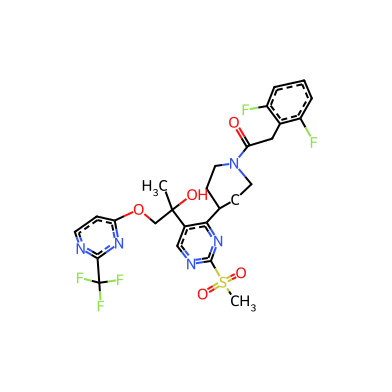 CC(O)(COc1ccnc(C(F)(F)F)n1)c1cnc(S(C)(=O)=O)nc1C1CCN(C(=O)Cc2c(F)cccc2F)CC1